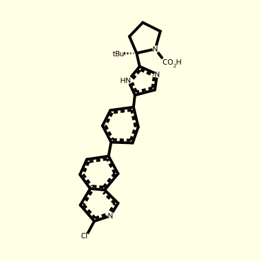 CC(C)(C)[C@]1(c2ncc(-c3ccc(-c4ccc5cc(Cl)ncc5c4)cc3)[nH]2)CCCN1C(=O)O